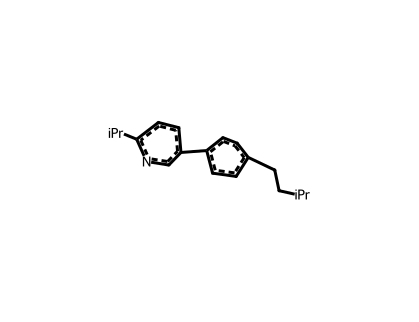 CC(C)CCc1ccc(-c2ccc(C(C)C)nc2)cc1